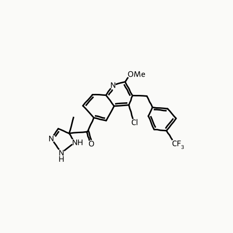 COc1nc2ccc(C(=O)C3(C)C=NNN3)cc2c(Cl)c1Cc1ccc(C(F)(F)F)cc1